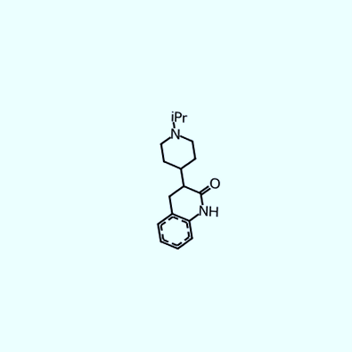 CC(C)N1CCC(C2Cc3ccccc3NC2=O)CC1